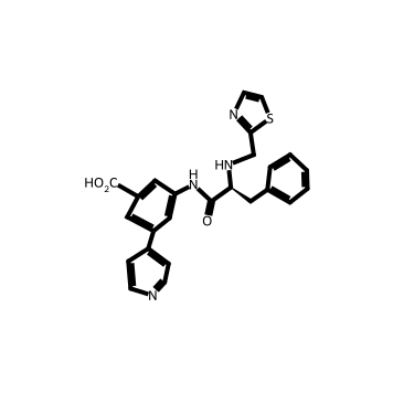 O=C(O)c1cc(NC(=O)[C@H](Cc2ccccc2)NCc2nccs2)cc(-c2ccncc2)c1